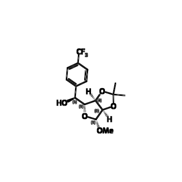 CO[C@@H]1O[C@H]([C@@H](O)c2ccc(C(F)(F)F)cc2)[C@H]2OC(C)(C)O[C@@H]12